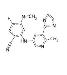 C=Nc1nc(Nc2cnc(C)c(-n3nccn3)c2)c(C#N)cc1F